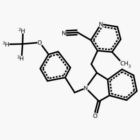 [2H]C([2H])([2H])Oc1ccc(CN2C(=O)c3ccccc3C2Cc2c(C)ccnc2C#N)cc1